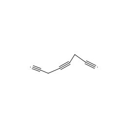 [C]#CCC#CCC#[C]